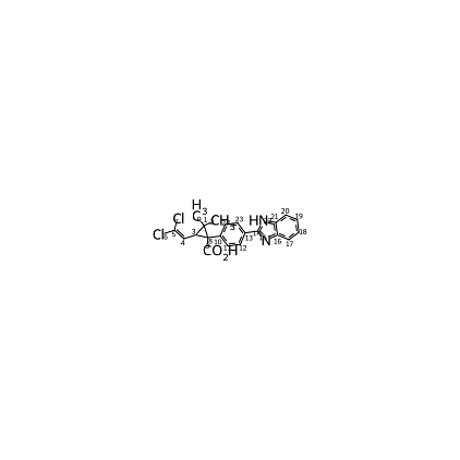 CC1(C)C(C=C(Cl)Cl)C1(C(=O)O)c1ccc(-c2nc3ccccc3[nH]2)cc1